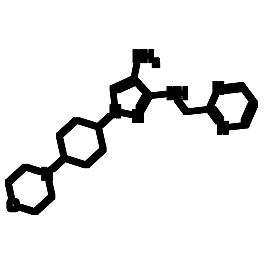 Nc1cn(C2CCC(N3CCOCC3)CC2)nc1NCc1ncccn1